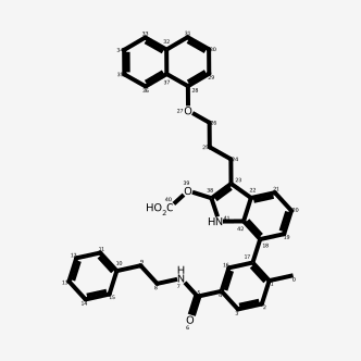 Cc1ccc(C(=O)NCCc2ccccc2)cc1-c1cccc2c(CCCOc3cccc4ccccc34)c(OC(=O)O)[nH]c12